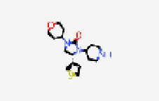 O=C1N(C2CCOCC2)C[C@@H](c2ccsc2)N1C1CCNCC1